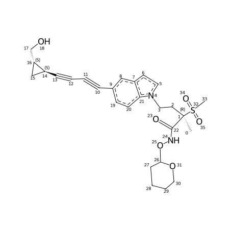 C[C@@](CCn1ccc2cc(C#CC#C[C@H]3C[C@@H]3CO)ccc21)(C(=O)NOC1CCCCO1)S(C)(=O)=O